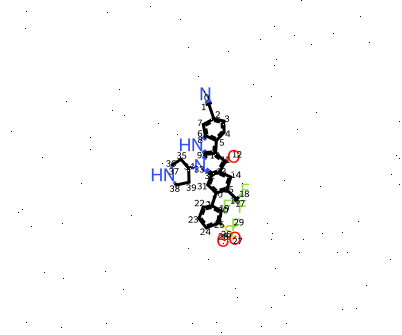 N#Cc1ccc2c(c1)[nH]c1c2c(=O)c2cc(C(F)(F)F)c(-c3cccc(S(=O)(=O)F)c3)cc2n1C1CCNCC1